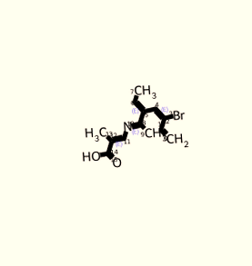 C=C\C(Br)=C/C(=C\C)C(/C)=N/C=C(\C)C(=O)O